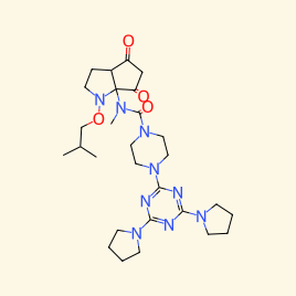 CC(C)CON1CCC2C(=O)CC(=O)C21N(C)C(=O)N1CCN(c2nc(N3CCCC3)nc(N3CCCC3)n2)CC1